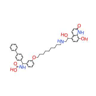 O=C(O)NC(c1ccc(-c2ccccc2)cc1)c1cccc(OCCCCCCCCCNCC(O)c2ccc(O)c3[nH]c(=O)ccc23)c1